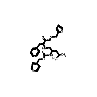 CC(C)CC(CNC(Cc1ccccc1)C(=O)CSCc1ccco1)NC(=O)OCc1ccncc1